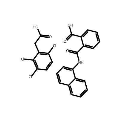 O=C(O)Cc1c(Cl)ccc(Cl)c1Cl.O=C(O)c1ccccc1C(=O)Nc1cccc2ccccc12